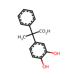 CC(C(=O)O)(c1ccccc1)c1ccc(O)c(O)c1